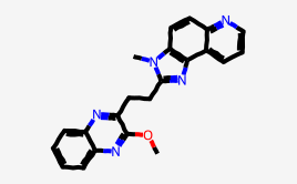 COc1nc2ccccc2nc1CCc1nc2c3cccnc3ccc2n1C